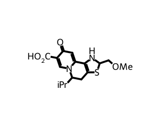 COCC1NC2=C(CC(C(C)C)n3cc(C(=O)O)c(=O)cc32)S1